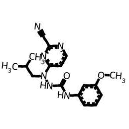 COc1cccc(NC(=O)NN(CC(C)C)c2ccnc(C#N)n2)c1